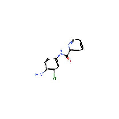 Nc1ccc(NC(=O)c2ccccn2)cc1Cl